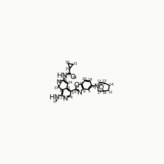 CNc1ncc(-c2nc3cc(N4CC5CCC(C4)O5)ccc3o2)c2cc(NC(=O)C3CC3)ncc12